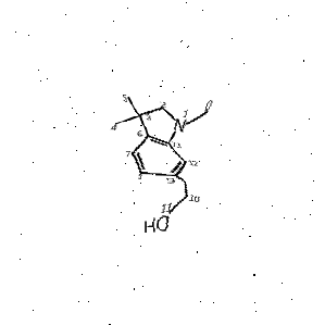 CN1CC(C)(C)c2ccc(CO)cc21